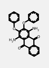 Nc1c(Oc2ccccc2)c(Oc2ccccc2)c(N)c2c1C(=O)c1ccccc1C2=O